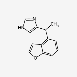 CC(c1c[nH]cn1)c1cccc2occc12